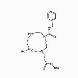 CC(=O)N1CCNCCN(C(=O)OCc2ccccc2)CCN(CCC(=O)OC(C)(C)C)CC1